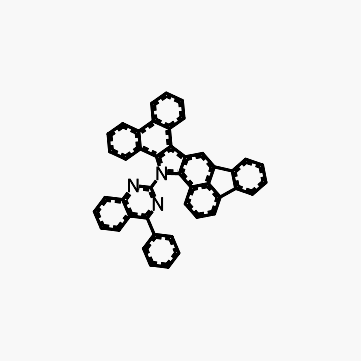 c1ccc(-c2nc(-n3c4c5cccc6c5c(cc4c4c5ccccc5c5ccccc5c43)-c3ccccc3-6)nc3ccccc23)cc1